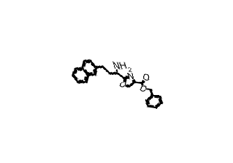 N[C@H](CCc1ccc2ccccc2c1)c1nc(C(=O)OCc2ccccc2)co1